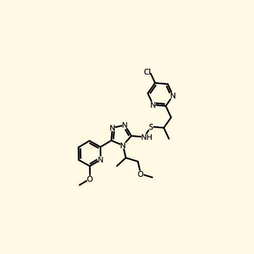 COCC(C)n1c(NSC(C)Cc2ncc(Cl)cn2)nnc1-c1cccc(OC)n1